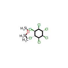 C[SiH2]O[SiH3].Cl[C@H]1[C@H](Cl)[C@@H](Cl)[C@@H](Cl)[C@H](Cl)[C@H]1Cl